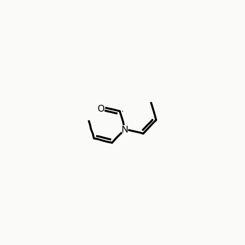 C/C=C\N([C]=O)/C=C\C